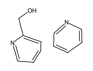 OCc1ccccn1.c1ccncc1